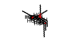 CCCCCC/C=C\CCCCCCCC(=O)OC(CCCCCCCCCCC)CC(=O)NC1[C@H](OCC2OC(OP(=O)(O)O)C(NC(=O)CC(CCCCCCCCCCC)OC(=O)CCCCCCCCCCCCCCC)[C@@H](OC(=O)CC(O)CCCCCCCCCCC)[C@@H]2O)OC(CO)[C@@H](OP(=O)(O)O)[C@@H]1OC(=O)CC(O)CCCCCCCCCCC